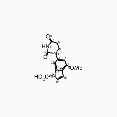 COc1cc(N2CCC(=O)NC2=O)cc2c1ccn2C(=O)O